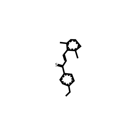 CCc1ccc(C(=S)C=Cc2c(C)cccc2C)cc1